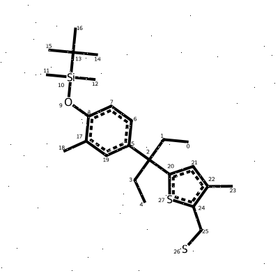 CCC(CC)(c1ccc(O[Si](C)(C)C(C)(C)C)c(C)c1)c1cc(C)c(C[S])s1